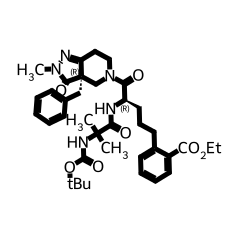 CCOC(=O)c1ccccc1CCC[C@@H](NC(=O)C(C)(C)NC(=O)OC(C)(C)C)C(=O)N1CCC2=NN(C)C(=O)[C@]2(Cc2ccccc2)C1